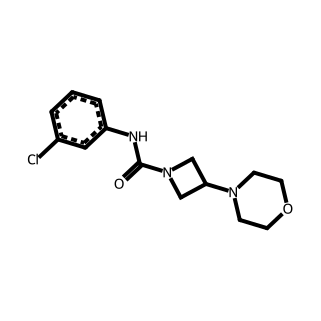 O=C(Nc1cccc(Cl)c1)N1CC(N2CCOCC2)C1